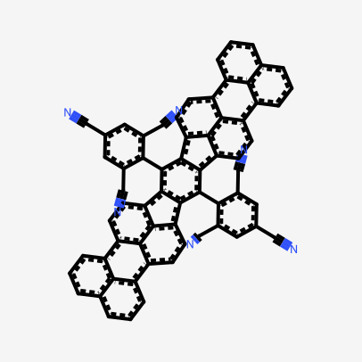 N#Cc1cc(C#N)c(-c2c3c4ccc5c6cccc7cccc(c8ccc(c3c(-c3c(C#N)cc(C#N)cc3C#N)c3c9ccc%10c%11cccc%12cccc(c%13ccc(c23)c9c%13%10)c%12%11)c4c58)c76)c(C#N)c1